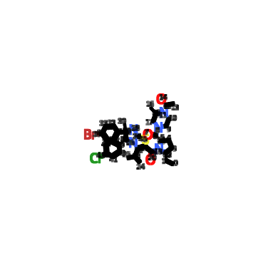 CC[C@@H]1CC[C@@H](C(=O)N2CCN(C(C)=O)[C@H](C)C2)N1C(=O)C1=C(C(C)C)N2C(=N[C@@](C)(c3ccc(Br)cc3)[C@H]2c2ccc(Cl)cc2)S1